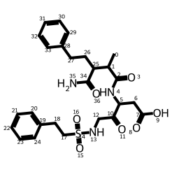 CC(C(=O)NC(CC(=O)O)C(=O)CNS(=O)(=O)CCc1ccccc1)C(CCc1ccccc1)C(N)=O